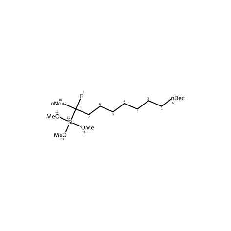 CCCCCCCCCCCCCCCCCC(F)(CCCCCCCCC)[Si](OC)(OC)OC